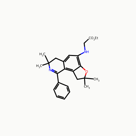 CCOC(=O)CNc1cc2c(c3c1OC(C)(C)C3)C(c1ccccc1)=NC(C)(C)C2